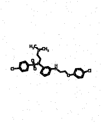 CN(C)CCN(c1cccc(NCCOc2ccc(Cl)cc2)c1)S(=O)(=O)c1ccc(Cl)cc1